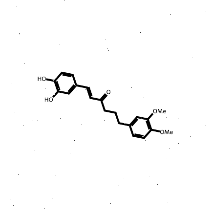 COc1ccc(CCCC(=O)C=Cc2ccc(O)c(O)c2)cc1OC